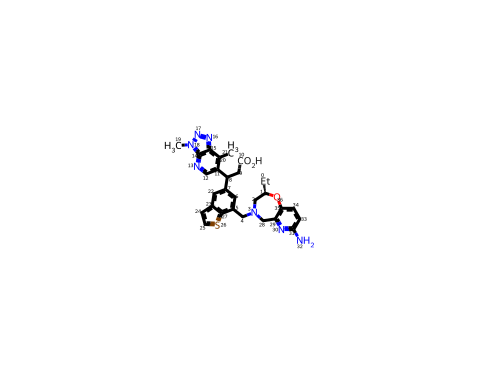 CC[C@@H]1CN(Cc2cc(C(CC(=O)O)c3cnc4c(nnn4C)c3C)cc3ccsc23)Cc2nc(N)ccc2O1